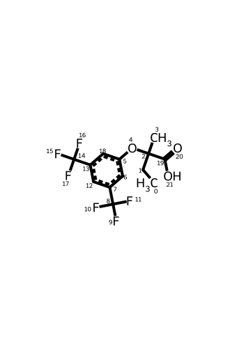 CCC(C)(Oc1cc(C(F)(F)F)cc(C(F)(F)F)c1)C(=O)O